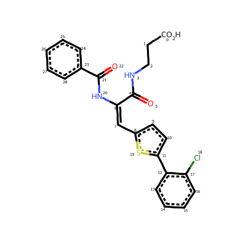 O=C(O)CCNC(=O)/C(=C\c1ccc(-c2ccccc2Cl)s1)NC(=O)c1ccccc1